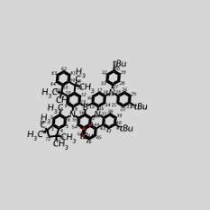 Cc1cc2c(cc1N1c3cc4c(cc3B3c5ccc(N(c6ccc(C(C)(C)C)cc6)c6ccc(C(C)(C)C)cc6)cc5N(c5ccc(C(C)(C)C)cc5-c5ccccc5)c5cc(C(C)(C)C)cc1c53)C(C)(C)c1ccccc1C4(C)C)C(C)(C)CC2(C)C